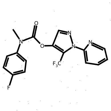 CN(C(=O)Oc1cnn(-c2ccccn2)c1C(F)(F)F)c1ccc(F)cc1